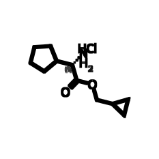 Cl.N[C@H](C(=O)OCC1CC1)C1CCCC1